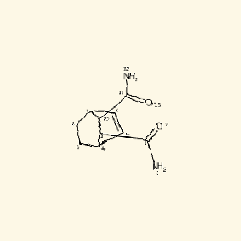 NC(=O)C1C2C=CC(CC2)C1C(N)=O